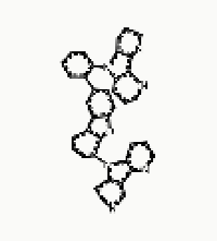 c1ccc(-n2c3cccnc3c3ncccc32)c(-c2ccc3oc4c(-n5c6ccncc6c6ncccc65)cccc4c3c2)c1